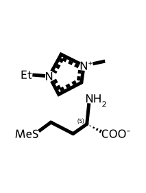 CCn1cc[n+](C)c1.CSCC[C@H](N)C(=O)[O-]